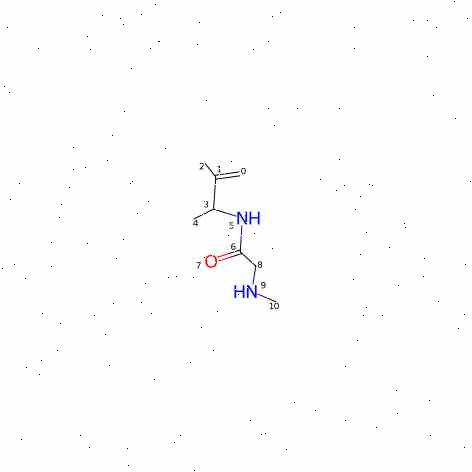 C=C(C)C(C)NC(=O)CNC